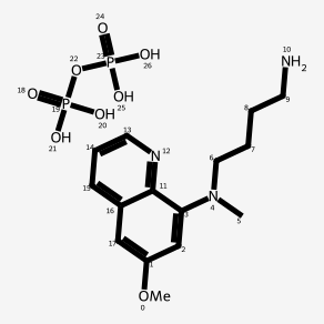 COc1cc(N(C)CCCCN)c2ncccc2c1.O=P(O)(O)OP(=O)(O)O